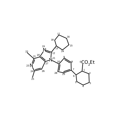 CCOC(=O)C1CCCCC1c1ccc(-n2c(C3CCCCC3)nc3c(C)nc(C)cc32)cc1